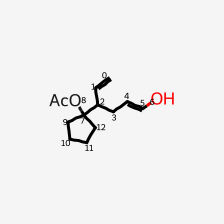 C=CC(C/C=C/O)C1(OC(C)=O)CCCC1